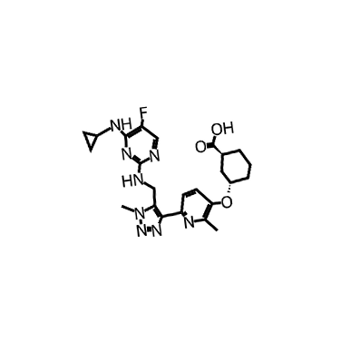 Cc1nc(-c2nnn(C)c2CNc2ncc(F)c(NC3CC3)n2)ccc1O[C@H]1CCC[C@H](C(=O)O)C1